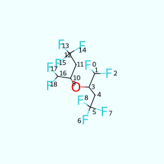 FC(F)C(CC(F)(F)F)OC(CC(F)(F)F)C(F)F